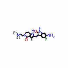 CCN(CC)CCN1CCc2[nH]c(/C=C3\C(=O)Nc4cc(N)c(F)cc43)c(C)c2C1=O